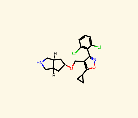 Clc1cccc(Cl)c1-c1noc(C2CC2)c1CO[C@@H]1C[C@H]2CNC[C@H]2C1